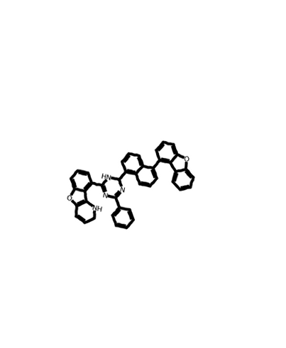 C1=Cc2oc3cccc(C4=NC(c5ccccc5)=NC(c5cccc6c(-c7cccc8oc9ccccc9c78)cccc56)N4)c3c2NC1